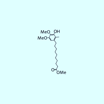 COC(=O)CCCCCCCCCc1cc(OC)c(OC)c(O)c1C